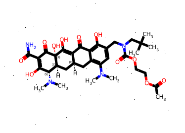 CC(=O)OCCOC(=O)N(Cc1cc(N(C)C)c2c(c1O)C(=O)C1=C(O)[C@]3(O)C(=O)C(C(N)=O)=C(O)[C@@H](N(C)C)[C@@H]3C[C@@H]1C2)CC(C)(C)C